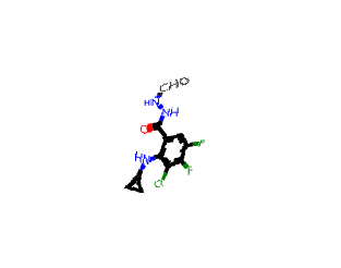 O=CNNC(=O)c1cc(F)c(F)c(Cl)c1NC1CC1